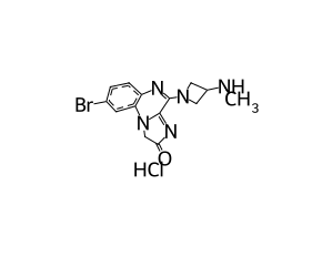 CNC1CN(C2=Nc3ccc(Br)cc3N3CC(=O)N=C23)C1.Cl